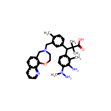 Cc1ccc(C(c2ccc(N(C)N)c(N)c2C)C(C)(C)C(=O)O)cc1CN1CCOc2c(ccc3cccnc23)C1